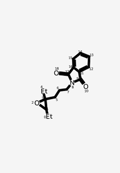 CCC1OC1(CC)CCCN1C(=O)c2ccccc2C1=O